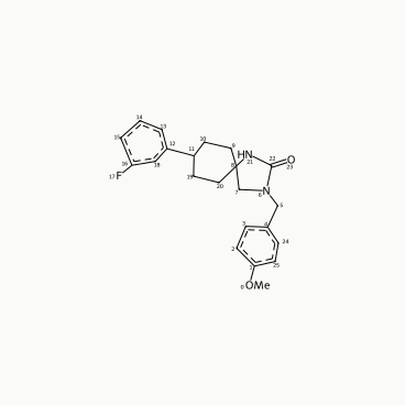 COc1ccc(CN2CC3(CCC(c4cccc(F)c4)CC3)NC2=O)cc1